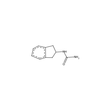 NC(=O)NC1Cc2ccccc2C1